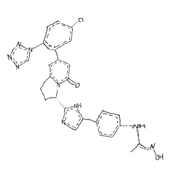 C/C(=N\O)Nc1ccc(-c2cnc([C@@H]3CCc4cc(-c5cc(Cl)ccc5-n5cnnn5)cc(=O)n43)[nH]2)cc1